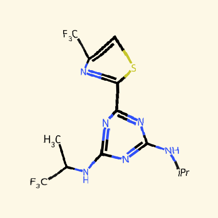 CC(C)Nc1nc(NC(C)C(F)(F)F)nc(-c2nc(C(F)(F)F)cs2)n1